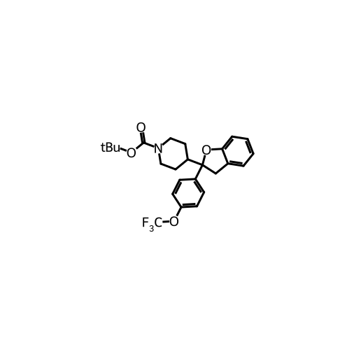 CC(C)(C)OC(=O)N1CCC(C2(c3ccc(OC(F)(F)F)cc3)Cc3ccccc3O2)CC1